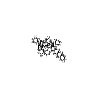 CC1(C)c2ccccc2-c2c3c(c4c5ccccc5n(-c5cccc(-c6nc(-c7ccccc7)nc(-c7ccccc7)n6)c5)c4c21)Cc1cc2ccccc2cc1C3